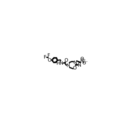 O=C(CN1CCOc2nc([N+](=O)[O-])cn2CC1)NCc1ccc(OC(F)F)cc1